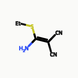 CCSC(N)=C(C#N)C#N